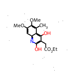 CCOC(=O)Cc1c(O)nc2cc(OC)c(OC)c(C)c2c1O